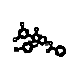 CCC1=C(c2cc(Cl)cc(Cl)c2)C(=O)N2C[C@@H](OC(=O)c3ccccc3)C[C@@]12Cc1ccc(Br)cc1